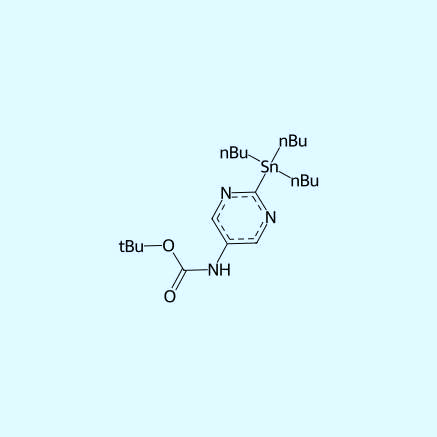 CCC[CH2][Sn]([CH2]CCC)([CH2]CCC)[c]1ncc(NC(=O)OC(C)(C)C)cn1